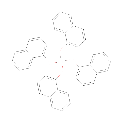 c1ccc2c([O][Ti]([O]c3cccc4ccccc34)([O]c3cccc4ccccc34)[O]c3cccc4ccccc34)cccc2c1